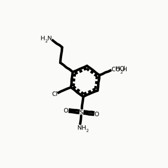 Cl.NCCc1cc(C(=O)O)cc(S(N)(=O)=O)c1Cl